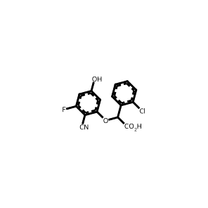 N#Cc1c(F)cc(O)cc1OC(C(=O)O)c1ccccc1Cl